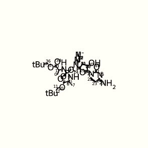 CC(NP(=O)(N[C@@H](C)C(=O)OCC(C)(C)C)OC[C@@]1(N=[N+]=[N-])O[C@@H](n2ccc(N)nc2=O)[C@H](O)[C@@H]1F)C(=O)OCC(C)(C)C